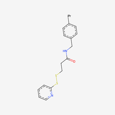 CC(C)c1ccc(CNC(=O)CCSSc2ccccn2)cc1